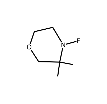 CC1(C)COCCN1F